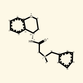 CN(CC(=O)N[C@H]1CCOc2ccccc21)Cc1ccccc1